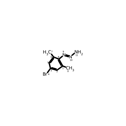 Cc1cc(Br)cc(C)c1N=NN